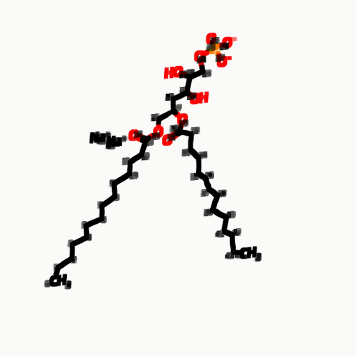 CCCCCCCCCCCCCC(=O)OC[C@@H](CC(O)C(O)COP(=O)([O-])[O-])OC(=O)CCCCCCCCCCCCC.[Na+].[Na+]